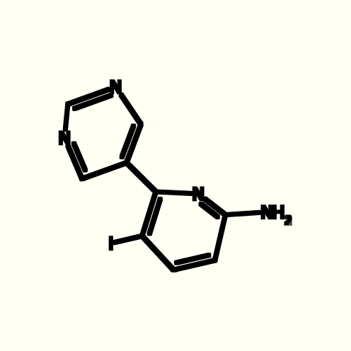 Nc1ccc(I)c(-c2cncnc2)n1